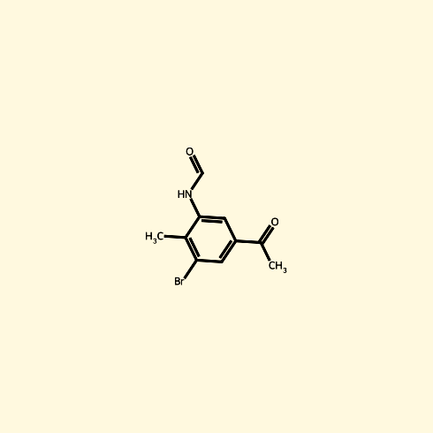 CC(=O)c1cc(Br)c(C)c(NC=O)c1